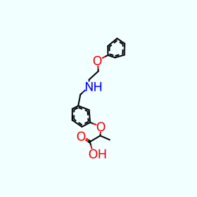 CC(Oc1cccc(CNCCOc2ccccc2)c1)C(=O)O